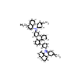 Cc1ccc(N(c2cccc(-c3ccccc3-c3ccccc3-c3cccc(N(c4ccc(C)cc4)c4ccc(C)c5ccccc45)c3)c2)c2cccc3ccccc23)cc1